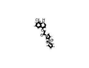 O=C(COC1=CCNc2c1cccc2C(F)(F)F)N1CCC(S(=O)(=O)N2CCCC2)C1